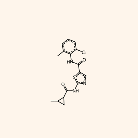 Cc1cccc(Cl)c1NC(=O)c1cnc(NC(=O)C2CC2C)s1